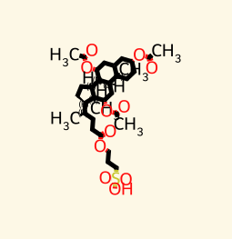 CC(=O)OC1CC[C@@]2(C)C(C1)CC(OC(C)=O)[C@H]1[C@@H]3CC[C@H]([C@H](C)CCC(=O)OCCCS(=O)(=O)O)[C@@]3(C)C(OC(C)=O)C[C@@H]12